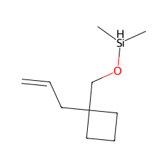 C=CCC1(CO[SiH](C)C)CCC1